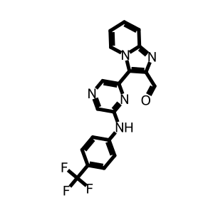 O=Cc1nc2ccccn2c1-c1cncc(Nc2ccc(C(F)(F)F)cc2)n1